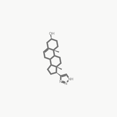 C[C@]12CC[C@H](O)CC1=CCC1C2CC[C@@]2(C)C1CC[C@@H]2c1c[nH]nn1